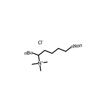 CCCCCCCCCCCCCC(CCCC)[N+](C)(C)C.[Cl-]